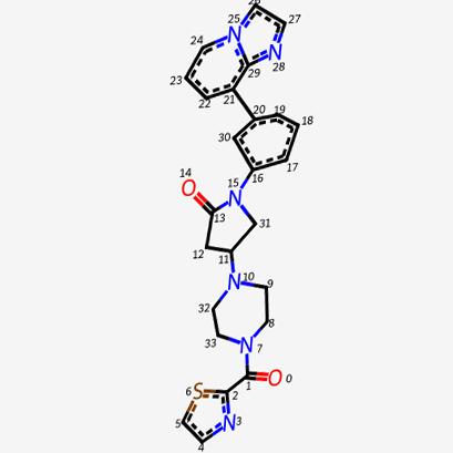 O=C(c1nccs1)N1CCN(C2CC(=O)N(c3cccc(-c4cccn5ccnc45)c3)C2)CC1